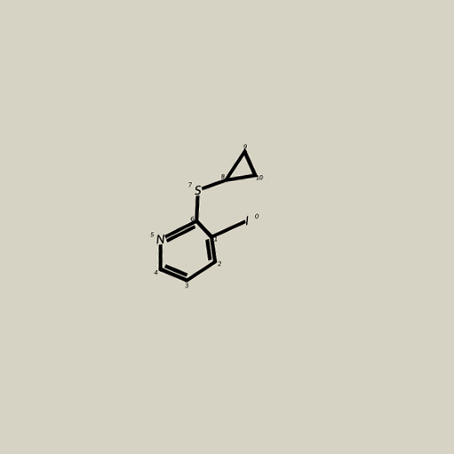 Ic1cccnc1SC1CC1